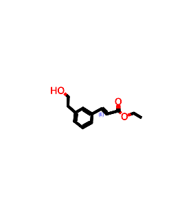 CCOC(=O)/C=C/c1cccc(CCO)c1